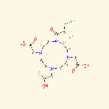 O=C(O)CN1CCN(CC(=O)O)CCN(C(=O)C(O)CF)CCN(CC(=O)O)CC1